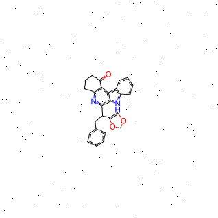 O=C1CCCc2nc(C(Cc3ccccc3)C3=COCO3)c3[nH]c4ccccc4c3c21